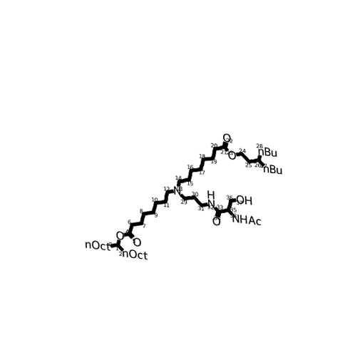 CCCCCCCCC(CCCCCCCC)OC(=O)CCCCCCCN(CCCCCCCC(=O)OCCC(CCCC)CCCC)CCCNC(=O)C(CO)NC(C)=O